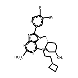 CC(C)c1cc(-c2nc3nc(C(=O)O)nc(NCCC4CCC4)c3n2C[C@H]2CC[C@H](C)CC2)ncc1F